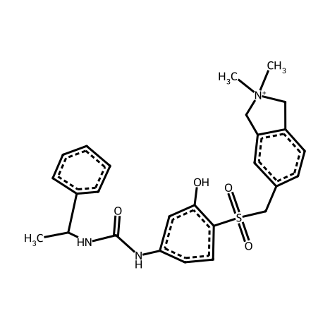 CC(NC(=O)Nc1ccc(S(=O)(=O)Cc2ccc3c(c2)C[N+](C)(C)C3)c(O)c1)c1ccccc1